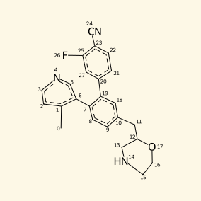 Cc1ccncc1-c1ccc(CC2CNCCO2)cc1-c1ccc(C#N)c(F)c1